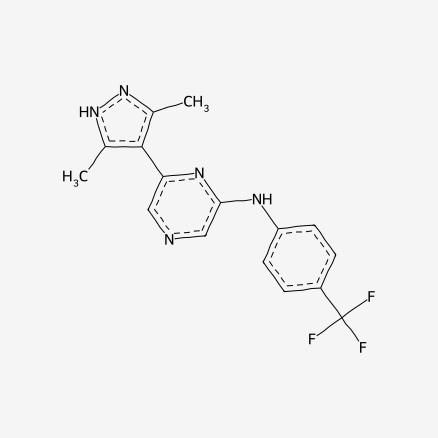 Cc1n[nH]c(C)c1-c1cncc(Nc2ccc(C(F)(F)F)cc2)n1